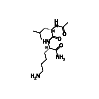 CC(=O)N[C@@H](CC(C)C)C(=O)N[C@@H](CCCCN)C(N)=O